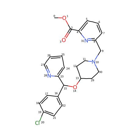 COC(=O)c1cccc(CN2CCC(OC(c3ccc(Cl)cc3)c3ccccn3)CC2)n1